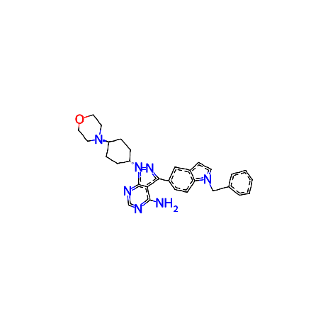 Nc1ncnc2c1c(-c1ccc3c(ccn3Cc3ccccc3)c1)nn2[C@H]1CC[C@H](N2CCOCC2)CC1